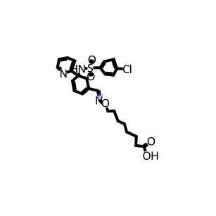 O=C(O)CCCCCCCO/N=C/C1=CC=CC(NS(=O)(=O)c2ccc(Cl)cc2)(c2ccccn2)C1